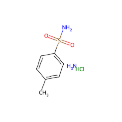 Cc1ccc(S(N)(=O)=O)cc1.Cl.N